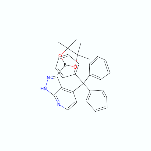 CC1(C)OB(c2n[nH]c3nccc(C(c4ccccc4)(c4ccccc4)c4ccccc4)c23)OC1(C)C